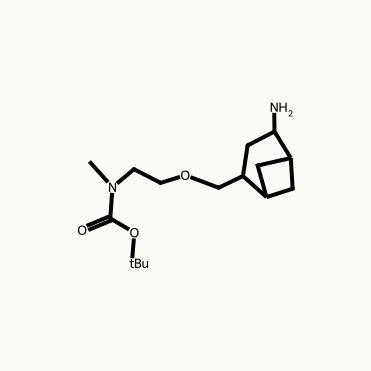 CN(CCOCC1CC(N)C2CC1C2)C(=O)OC(C)(C)C